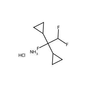 Cl.FC(F)C(F)(C1CC1)C1CC1.N